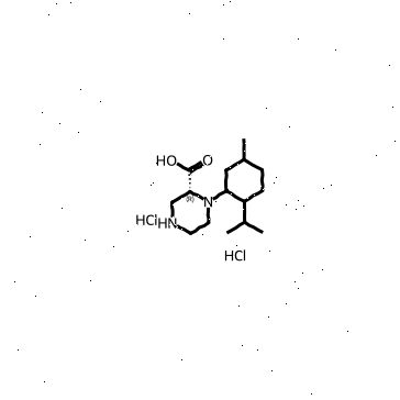 CC1CCC(C(C)C)C(N2CCNC[C@@H]2C(=O)O)C1.Cl.Cl